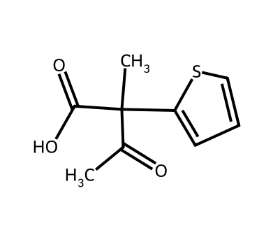 CC(=O)C(C)(C(=O)O)c1cccs1